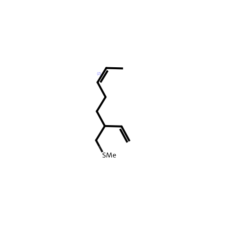 C=CC(CC/C=C\C)CSC